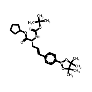 CC(C)(C)OC(=O)N[C@@H](C/C=C/c1ccc(B2OC(C)(C)C(C)(C)O2)cc1)C(=O)OC1CCCC1